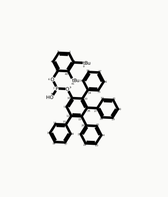 CC(C)(C)c1cccc(OP(O)Oc2cc(-c3ccccc3)c(-c3ccccc3)c(-c3ccccc3)c2-c2ccccc2)c1C(C)(C)C